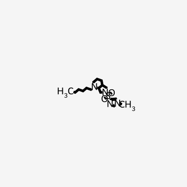 CCCCCCN1CCCC2CN(S(=O)(=O)c3cn(C)cn3)CC21